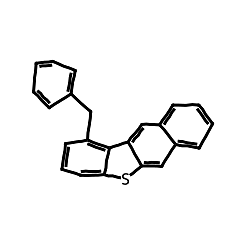 c1ccc(Cc2cccc3sc4cc5ccccc5cc4c23)cc1